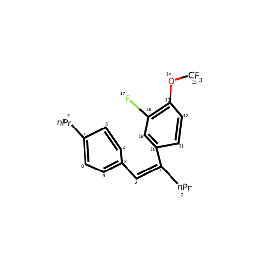 CCC/C(=C/c1ccc(CCC)cc1)c1ccc(OC(F)(F)F)c(F)c1